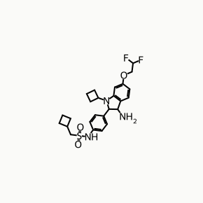 NC1c2ccc(OCC(F)F)cc2N(C2CCC2)C1c1ccc(NS(=O)(=O)CC2CCC2)cc1